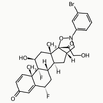 C[C@]12C=CC(=O)C=C1[C@@H](F)C[C@H]1[C@@H]3C[C@H]4CN(c5cccc(Br)c5)O[C@@]4(C(=O)CO)[C@@]3(C)C[C@H](O)[C@@]12F